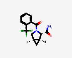 NC(=O)[C@@H]1[C@H]2C[C@H]2CN1C(=O)c1ccccc1C(F)(F)F